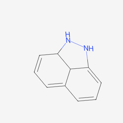 C1=CC2=CC=CC3NNC(=C1)C23